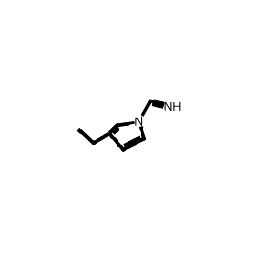 CCc1ccn(C=N)c1